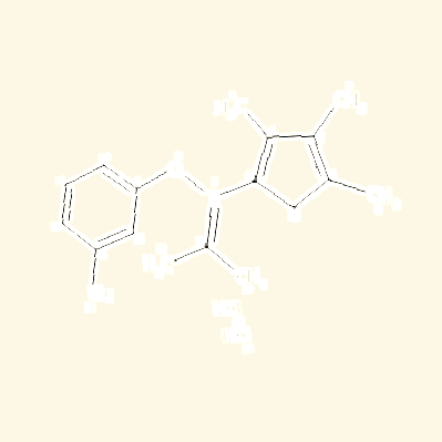 CC1=C(C)C(C)=[C]([Ti]([O]c2cccc(C(C)(C)C)c2)=[C](C)C)C1.Cl.Cl